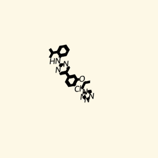 CC(Cn1cnnn1)Oc1cc(-c2cnc(Nc3ccccc3C(C)C)nc2)ccc1Cl